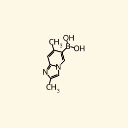 Cc1cn2cc(B(O)O)c(C)cc2n1